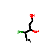 CC(Br)C(O)CCO